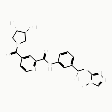 C[C@H](Sc1nncn1C)c1cccc(NC(=O)c2cc(C(=O)N3C[C@H](O)[C@@H](O)C3)ccn2)c1